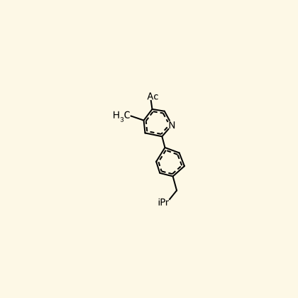 CC(=O)c1cnc(-c2ccc(CC(C)C)cc2)cc1C